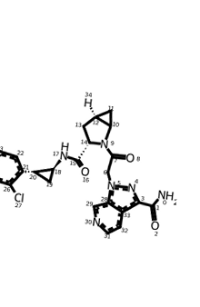 NC(=O)c1nn(CC(=O)N2C3C[C@@H]3C[C@H]2C(=O)N[C@H]2C[C@@H]2c2ccccc2Cl)c2cnccc12